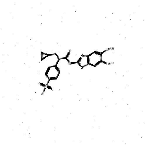 CCS(=O)(=O)c1ccc(C(CC2CC2)C(=O)Nc2nc3cc(OC)c(OC)cc3s2)cc1